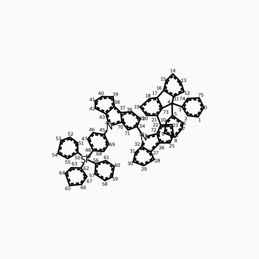 c1ccc(C2(c3ccccc3)c3ccccc3-c3cccc(-c4cccc5c6ccccc6n(-c6ccc7c8ccccc8n(-c8ccc([Si](c9ccccc9)(c9ccccc9)c9ccccc9)cc8)c7c6)c45)c32)cc1